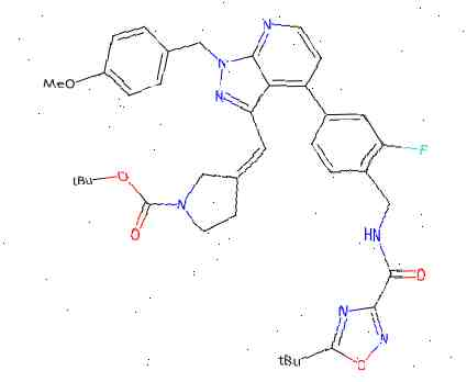 COc1ccc(Cn2nc(/C=C3/CCN(C(=O)OC(C)(C)C)C3)c3c(-c4ccc(CNC(=O)c5noc(C(C)(C)C)n5)c(F)c4)ccnc32)cc1